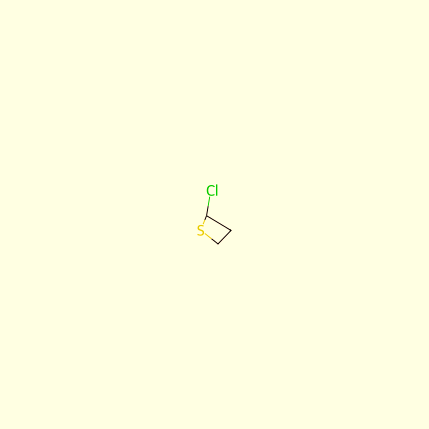 ClC1CCS1